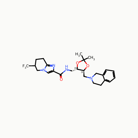 CC1(C)O[C@@H](CNC(=O)c2cn3c(n2)CCC(C(F)(F)F)C3)[C@H](CN2CCc3ccccc3C2)O1